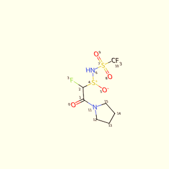 O=C(C(F)[S+]([O-])NS(=O)(=O)C(F)(F)F)N1CCCC1